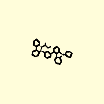 CCC(C)[C@H](C)N(c1cccc(-c2cccc3c2c2ccccc2n3-c2ccccc2)c1)c1ccccc1-c1ccccc1